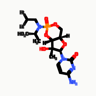 CCC(CC)CN([C@@H](C)C(=O)O)P1(=O)OC[C@H]2O[C@@H](n3ccc(N)nc3=O)[C@](C)(O)[C@@H]2O1